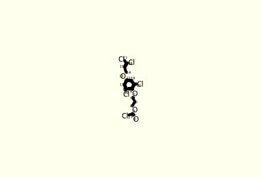 O=C(Cl)OCCCOc1c(Cl)cc(OCC=C(Cl)Cl)cc1Cl